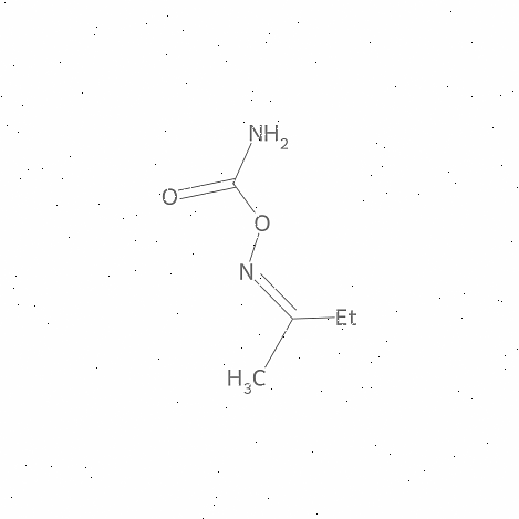 CC/C(C)=N\OC(N)=O